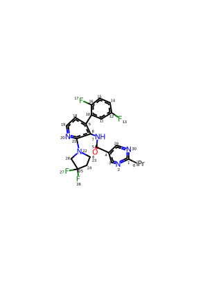 CC(C)c1ncc(C(=O)Nc2c(-c3cc(F)ccc3F)ccnc2N2CCC(F)(F)C2)cn1